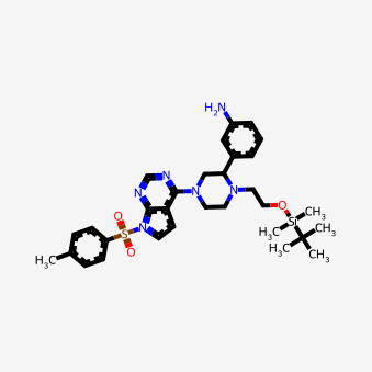 Cc1ccc(S(=O)(=O)n2ccc3c(N4CCN(CCO[Si](C)(C)C(C)(C)C)C(c5cccc(N)c5)C4)ncnc32)cc1